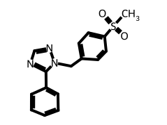 CS(=O)(=O)c1ccc(Cn2ncnc2-c2ccccc2)cc1